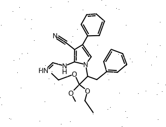 CCOC(OC)(OCC)C(Cc1ccccc1)n1cc(-c2ccccc2)c(C#N)c1NC=N